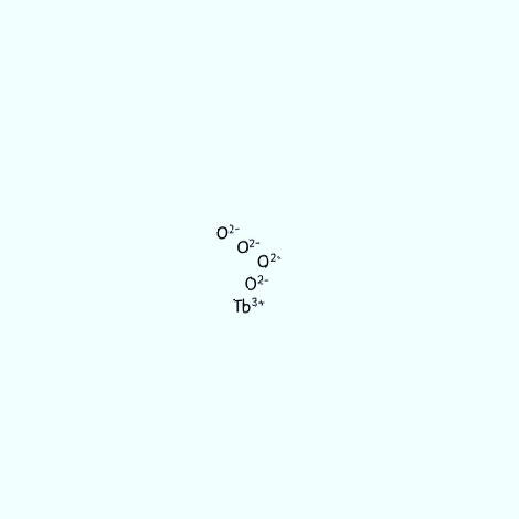 [O-2].[O-2].[O-2].[O-2].[Tb+3]